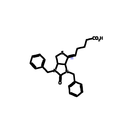 O=C(O)CCC/C=C1\SCC2C1N(Cc1ccccc1)C(=O)N2Cc1ccccc1